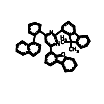 CC1(C)c2ccccc2-c2cccc(-c3nc(-c4ccccc4-c4cccc5ccccc45)cc(-c4cccc5c4oc4ccccc45)n3)c21